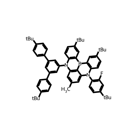 Cc1cc2c3c(c1)N(c1ccc(C(C)(C)C)cc1F)c1ccc(C(C)(C)C)cc1B3c1cc(C(C)(C)C)ccc1N2c1cc(-c2ccc(C(C)(C)C)cc2)cc(-c2ccc(C(C)(C)C)cc2)c1